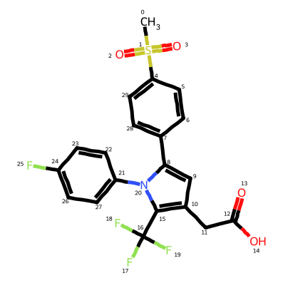 CS(=O)(=O)c1ccc(-c2cc(CC(=O)O)c(C(F)(F)F)n2-c2ccc(F)cc2)cc1